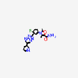 CC1=C(C(N)=O)OC(C)N1c1ccc(F)c(-c2nc3ncc(-c4cccnc4)cn3n2)c1